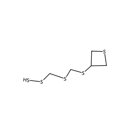 SSCSCSC1CSC1